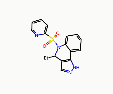 CCC1c2cn[nH]c2-c2ccccc2N1S(=O)(=O)c1ccccn1